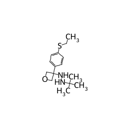 CCSc1ccc(C2(NNC(C)(C)C)COC2)cc1